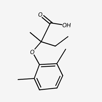 CCC(C)(Oc1c(C)cccc1C)C(=O)O